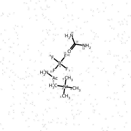 CC(N)=O.C[N+](C)(C)C.F[B-](F)(F)F.NC(N)=O